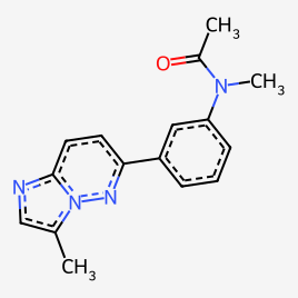 CC(=O)N(C)c1cccc(-c2ccc3ncc(C)n3n2)c1